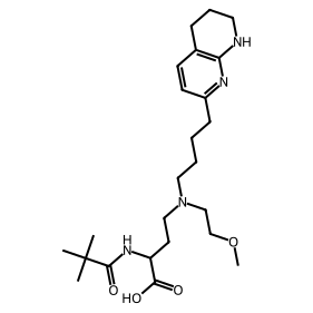 COCCN(CCCCc1ccc2c(n1)NCCC2)CCC(NC(=O)C(C)(C)C)C(=O)O